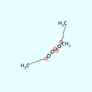 CCCCCCCCCCCCOc1ccc(-c2ccc(OC(=O)c3ccc(C(C)OCCCCCCCCCCCC)cc3)cc2)cc1